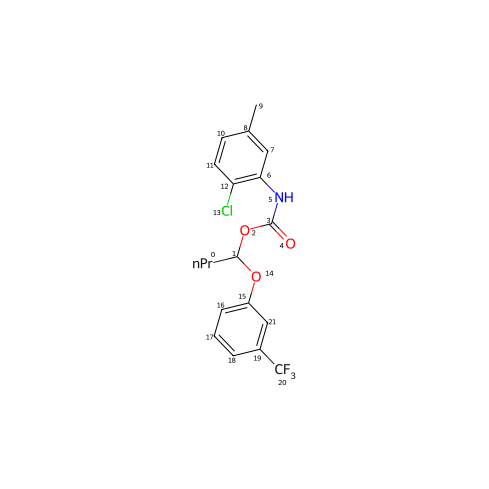 CCCC(OC(=O)Nc1cc(C)ccc1Cl)Oc1cccc(C(F)(F)F)c1